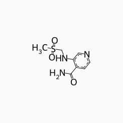 CS(=O)(=O)CNc1cnccc1C(N)=O